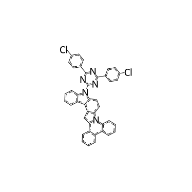 Clc1ccc(-c2nc(-c3ccc(Cl)cc3)nc(-n3c4ccccc4c4c5cc6c7ccccc7c7ccccc7n6c5ccc43)n2)cc1